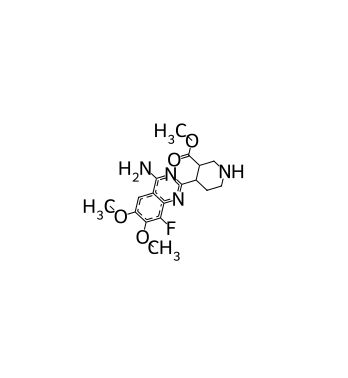 COC(=O)C1CNCCC1c1nc(N)c2cc(OC)c(OC)c(F)c2n1